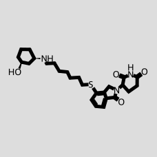 O=C1CCC(N2Cc3c(SCCCCCCCN[C@H]4CCC[C@H](O)C4)cccc3C2=O)C(=O)N1